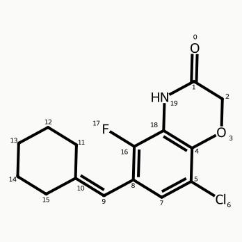 O=C1COc2c(Cl)cc(C=C3CCCCC3)c(F)c2N1